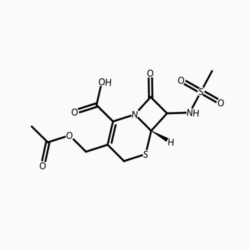 CC(=O)OCC1=C(C(=O)O)N2C(=O)C(NS(C)(=O)=O)[C@@H]2SC1